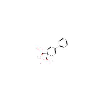 COC(=O)C1(C(=O)OC)C=CC(c2ccccc2)=CC1C